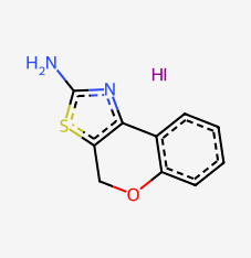 I.Nc1nc2c(s1)COc1ccccc1-2